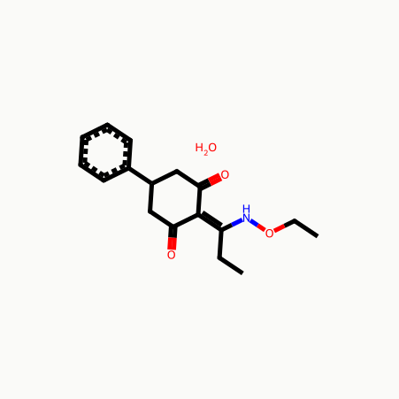 CCONC(CC)=C1C(=O)CC(c2ccccc2)CC1=O.O